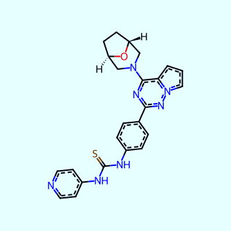 S=C(Nc1ccncc1)Nc1ccc(-c2nc(N3C[C@H]4CC[C@H](C3)O4)c3cccn3n2)cc1